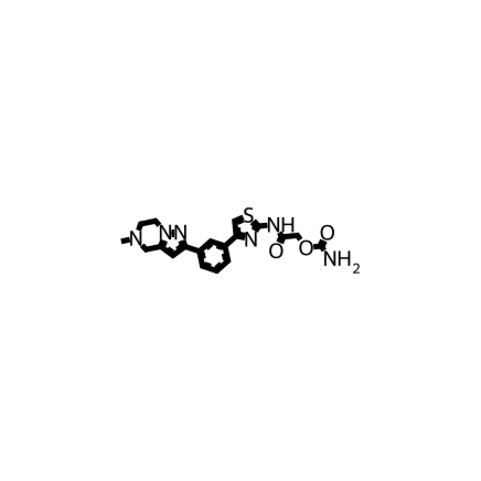 CN1CCn2nc(-c3cccc(-c4csc(NC(=O)COC(N)=O)n4)c3)cc2C1